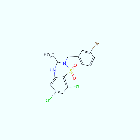 O=C(O)C1Nc2cc(Cl)cc(Cl)c2S(=O)(=O)N1Cc1cccc(Br)c1